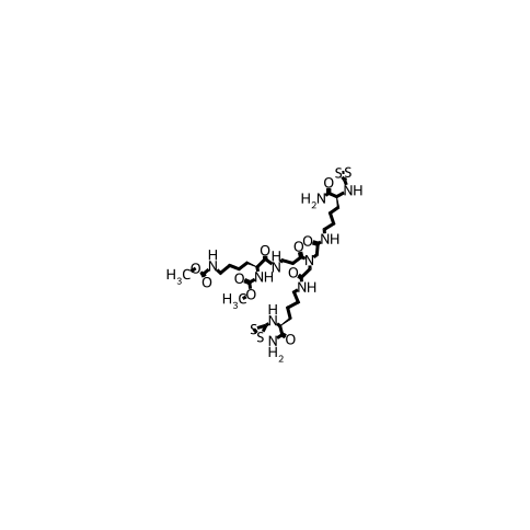 COC(=O)NCCCC[C@H](NC(=O)OC)C(=O)NCCC(=O)N(CC(=O)NCCCC[C@H](NC1SS1)C(N)=O)CC(=O)NCCCC[C@H](NC1SS1)C(N)=O